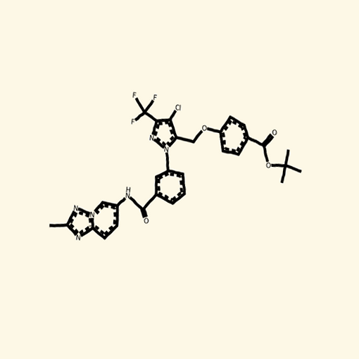 Cc1nc2ccc(NC(=O)c3cccc(-n4nc(C(F)(F)F)c(Cl)c4COc4ccc(C(=O)OC(C)(C)C)cc4)c3)cn2n1